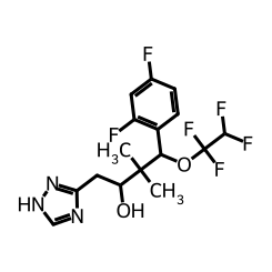 CC(C)(C(O)Cc1nc[nH]n1)C(OC(F)(F)C(F)F)c1ccc(F)cc1F